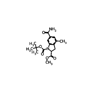 COC(=O)C1Cc2c(C)cc(C(N)=O)cc2N1C(=O)OC(C)(C)C